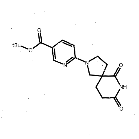 CC(C)(C)OC(=O)c1ccc(N2CCC3(CCC(=O)NC3=O)C2)nc1